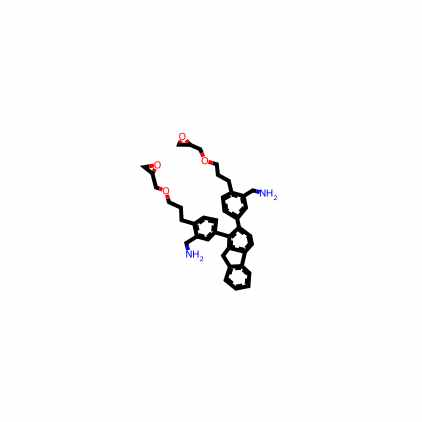 NCc1cc(-c2ccc3c(c2-c2ccc(CCCOCC4CO4)c(CN)c2)Cc2ccccc2-3)ccc1CCCOCC1CO1